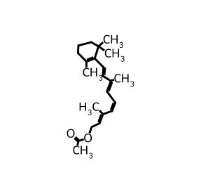 CC(=O)OC/C=C(C)/C=C\C=C(C)\C=C\C1=C(C)CCCC1(C)C